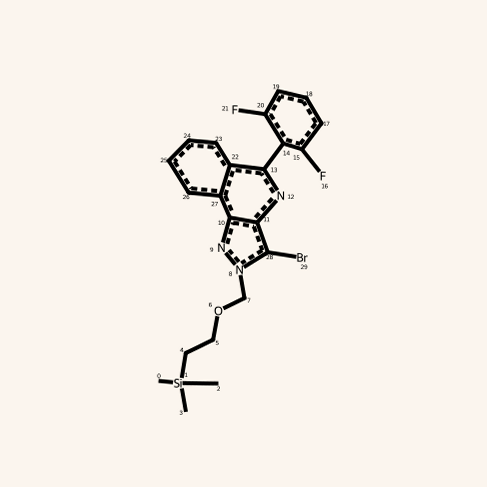 C[Si](C)(C)CCOCn1nc2c(nc(-c3c(F)cccc3F)c3ccccc32)c1Br